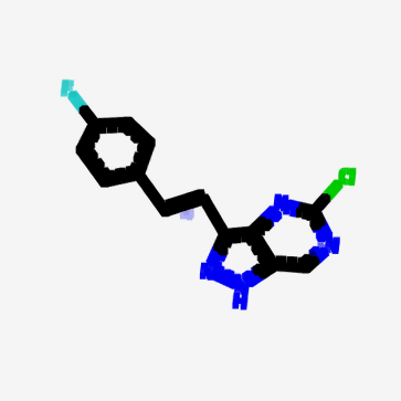 Fc1ccc(/C=C/c2n[nH]c3cnc(Cl)nc23)cc1